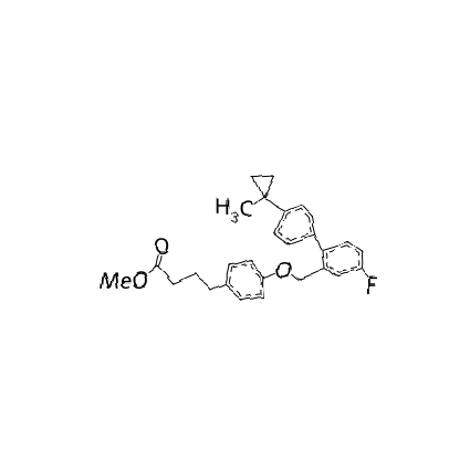 COC(=O)CCCc1ccc(OCc2cc(F)ccc2-c2ccc(C3(C)CC3)cc2)cc1